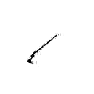 CCCOCCOCCOCCOCCOCCOCCOCCOCCC(=O)NCc1ccc(COc2nccc(N)n2)cc1